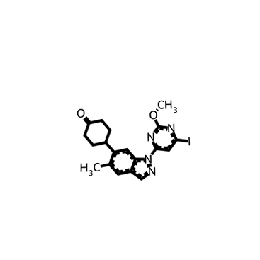 COc1nc(I)cc(-n2ncc3cc(C)c(C4CCC(=O)CC4)cc32)n1